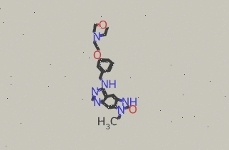 CCn1c(=O)[nH]c2cc3c(NCc4cccc(OCCN5CCOCC5)c4)ncnc3cc21